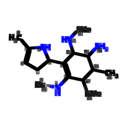 CC[C@@H](C)NC1=C(C2CC=C(C)N2)C(NSC)C(N)C(C)C1NC